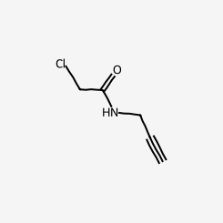 C#CCNC(=O)CCl